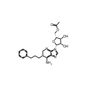 CC(=O)OC[C@H]1O[C@@H](n2cnc3c2=NCN(CCCc2ccccc2)C=3N)[C@H](O)[C@@H]1O